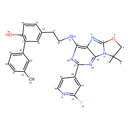 CC1(C)COc2nc3c(NCCc4ccc(O)c(-c5cccc(C#N)c5)c4)nc(-c4ccnc(F)c4)nc3n21